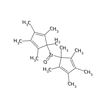 CC1=C(C)[C](C)([Zr](=[O])[C]2(C)C(C)=C(C)C(C)=C2C)C(C)=C1C